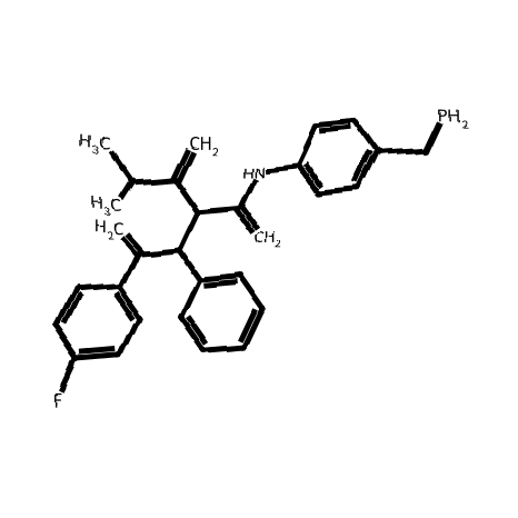 C=C(Nc1ccc(CP)cc1)C(C(=C)C(C)C)C(C(=C)c1ccc(F)cc1)c1ccccc1